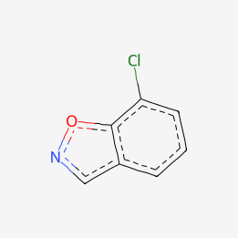 Clc1cccc2cnoc12